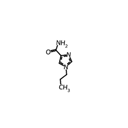 CCCn1cnc(C(N)=O)c1